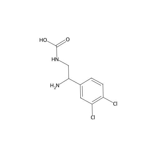 NC(CNC(=O)O)c1ccc(Cl)c(Cl)c1